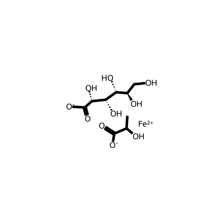 CC(O)C(=O)[O-].O=C([O-])[C@H](O)[C@@H](O)[C@H](O)[C@H](O)CO.[Fe+2]